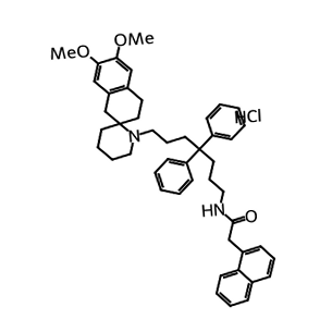 COc1cc2c(cc1OC)CC1(CCCCN1CCCC(CCCNC(=O)Cc1cccc3ccccc13)(c1ccccc1)c1ccccc1)CC2.Cl